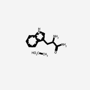 CC(=O)O.NC(=O)C(N)Cc1c[nH]c2ccccc12